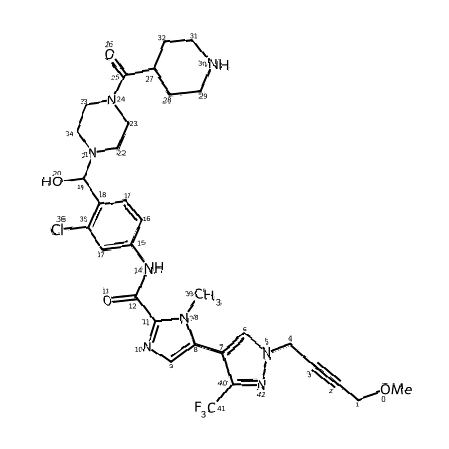 COCC#CCn1cc(-c2cnc(C(=O)Nc3ccc(C(O)N4CCN(C(=O)C5CCNCC5)CC4)c(Cl)c3)n2C)c(C(F)(F)F)n1